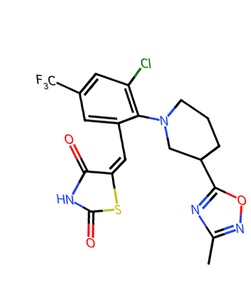 Cc1noc(C2CCCN(c3c(Cl)cc(C(F)(F)F)cc3C=C3SC(=O)NC3=O)C2)n1